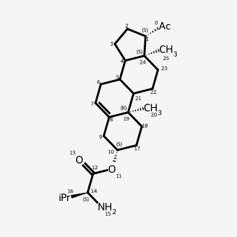 CC(=O)[C@H]1CCC2C3CC=C4C[C@@H](OC(=O)[C@@H](N)C(C)C)CC[C@]4(C)C3CC[C@@]21C